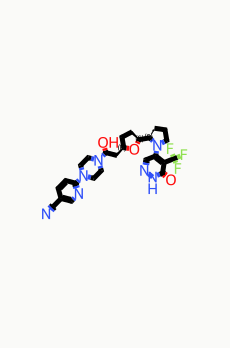 N#Cc1ccc(N2CCN(C(O)C[C@H]3CC[C@@H]([C@@H]4CCCN4c4cn[nH]c(=O)c4C(F)(F)F)O3)CC2)nc1